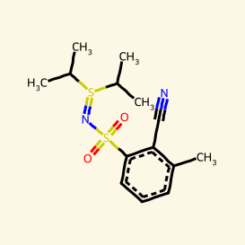 Cc1cccc(S(=O)(=O)N=S(C(C)C)C(C)C)c1C#N